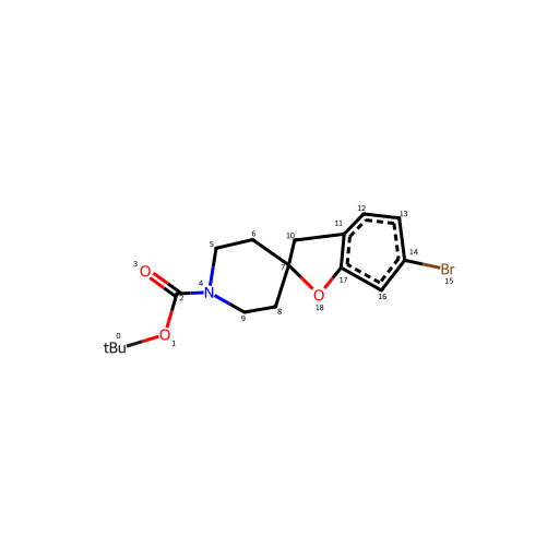 CC(C)(C)OC(=O)N1CCC2(CC1)Cc1ccc(Br)cc1O2